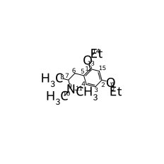 CCOc1ccc(CC(C)N(C)C)c(OCC)c1